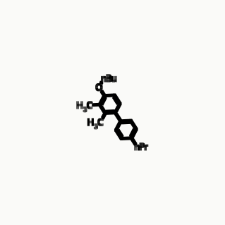 CCCCOc1ccc(-c2ccc(CCC)cc2)c(C)c1C